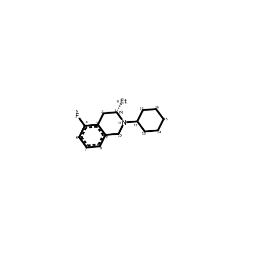 CC[C@H]1Cc2c(F)cccc2CN1C1CCCCC1